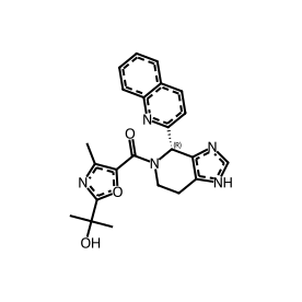 Cc1nc(C(C)(C)O)oc1C(=O)N1CCc2[nH]cnc2[C@H]1c1ccc2ccccc2n1